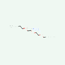 CCCCCCN.COCCOCCOCCOCC(=O)O